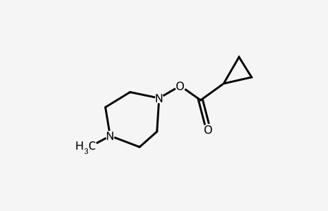 CN1CCN(OC(=O)C2CC2)CC1